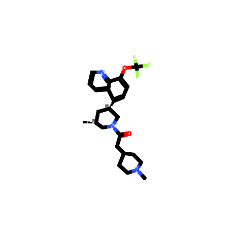 C[C@@H]1C[C@H](c2ccc(OC(F)(F)F)c3ncccc23)CN(C(=O)CC2CCN(C)CC2)C1